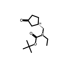 CCN(C[C@H]1CCC(=O)C1)C(=O)OC(C)(C)C